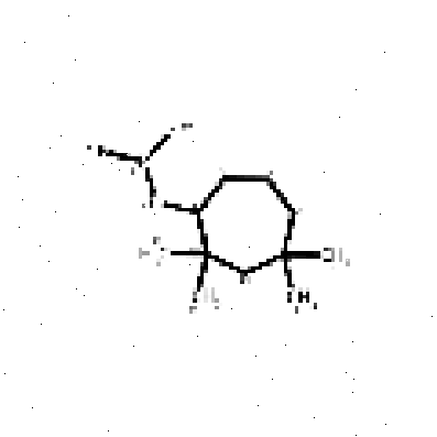 CC1(C)CCCC(OP(F)F)C(C)(C)C1